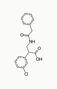 O=C(Cc1ccccc1)NCC(C(=O)O)c1cccc(Cl)c1